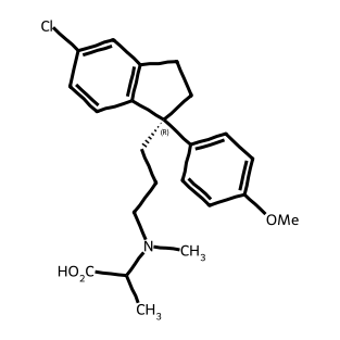 COc1ccc([C@]2(CCCN(C)C(C)C(=O)O)CCc3cc(Cl)ccc32)cc1